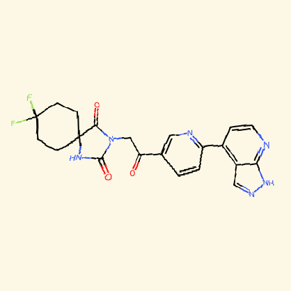 O=C(CN1C(=O)NC2(CCC(F)(F)CC2)C1=O)c1ccc(-c2ccnc3[nH]ncc23)nc1